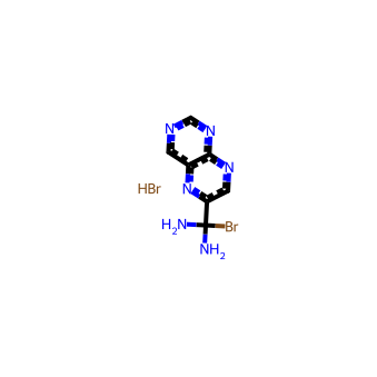 Br.NC(N)(Br)c1cnc2ncncc2n1